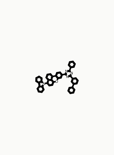 c1ccc(-c2cccc(-c3nc(-c4ccccc4)nc(-c4ccc5c(c4)Oc4ccc(-n6c7ccccc7c7ccccc76)c6cccc-5c46)n3)c2)cc1